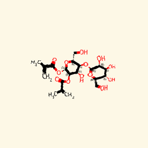 C=C(C)C(=O)O[C@@H]1O[C@H](CO)[C@@H](O[C@H]2O[C@H](CO)[C@@H](O)[C@H](O)[C@H]2O)[C@H](O)[C@H]1OC(=O)C(=C)C